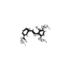 COC(=O)c1cccc(C=Cc2c(OC)ccc(OC)c2F)c1